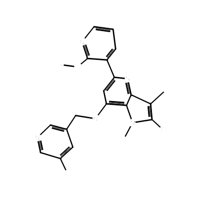 CCOc1ncccc1-c1cc(NCc2cncc(CC)c2)c2c(n1)c(C)c(CC)n2C(C)CC